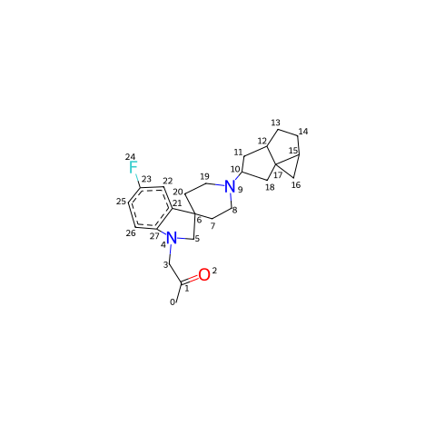 CC(=O)CN1CC2(CCN(C3CC4CCC5CC45C3)CC2)c2cc(F)ccc21